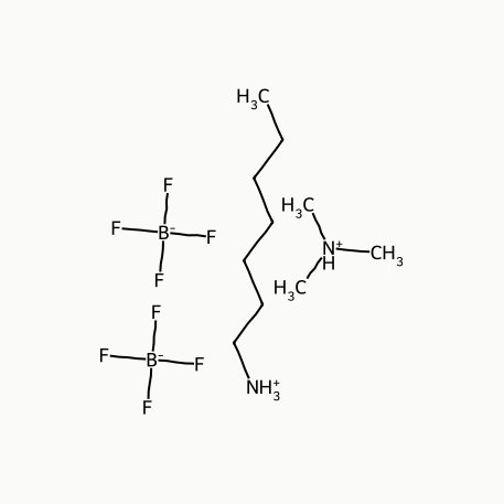 CCCCCCC[NH3+].C[NH+](C)C.F[B-](F)(F)F.F[B-](F)(F)F